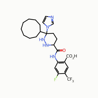 O=C(O)c1cc(C(F)(F)F)c(F)cc1NC(=O)C1CCC(C2CCCCCCCC2)(n2ccnc2)NN1